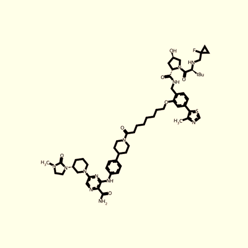 Cc1ncsc1-c1ccc(CNC(=O)[C@@H]2C[C@@H](O)CN2C(=O)[C@@H](NCC2(F)CC2)C(C)(C)C)c(OCCCCCCCC(=O)N2CCC(c3ccc(Nc4nc(N5CCC[C@@H](N6CCN(C)C6=O)C5)cnc4C(N)=O)cc3)CC2)c1